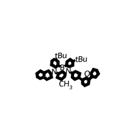 Cc1cc2c3c(c1)N(c1ccc(-c4cccc5c4oc4ccccc45)cc1)c1cc(C(C)(C)C)ccc1B3c1cc(C(C)(C)C)ccc1N2c1ccc2ccccc2c1